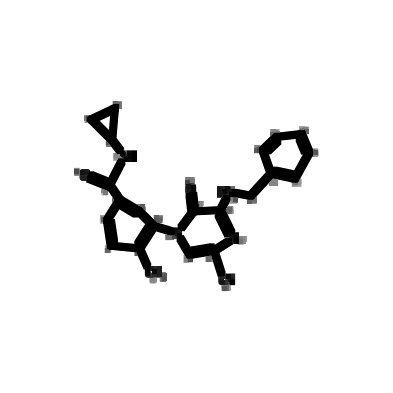 Cc1ccc(C(=O)NC2CC2)cc1-n1cc(C#N)nc(NCc2ccccc2)c1=O